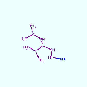 NPPP(PP(P)P)P(P)P